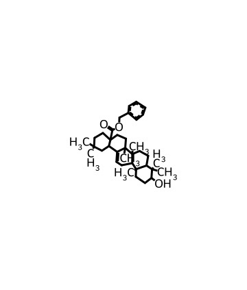 CC1(C)CCC2(C(=O)OCc3ccccc3)CCC3(C)C(=CCC4C5(C)CCC(O)C(C)(C)C5CCC43C)C2C1